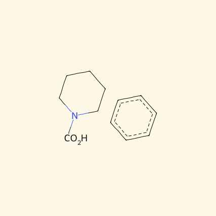 O=C(O)N1CCCCC1.c1ccccc1